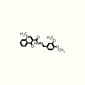 COc1ccc(C=NNC(=O)c2cn(C)c3ccccc3c2=O)cc1OC